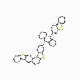 c1ccc2c(c1)sc1cc(-c3c4ccccc4c(-c4ccc5c(c4)sc4ccc6cc7c(cc6c45)sc4ccccc47)c4ccccc34)ccc12